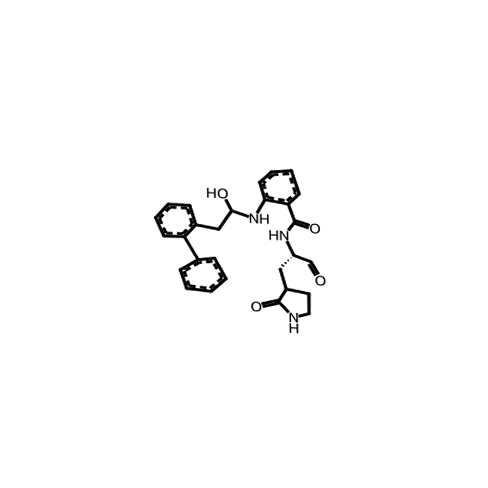 O=C[C@H](CC1CCNC1=O)NC(=O)c1ccccc1NC(O)Cc1ccccc1-c1ccccc1